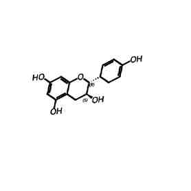 OC1=CCC([C@H]2Oc3cc(O)cc(O)c3C[C@@H]2O)C=C1